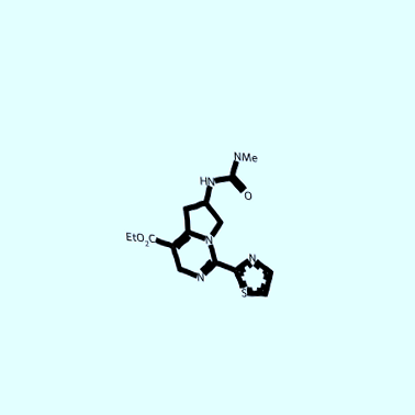 CCOC(=O)C1=C2CC(NC(=O)NC)CN2C(c2nccs2)=NC1